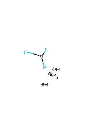 FB(F)F.[AlH3].[HH].[LiH]